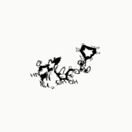 Nc1nc2c(ncn2C2O[C@](F)(CO[PH](=O)Oc3ccccc3)C(O)C2O)c(=O)[nH]1